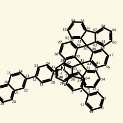 c1ccc(-c2ccc(N(c3ccc(-c4ccc5ccccc5c4)cc3)c3cccc4c3C3(c5ccccc5-c5ccccc53)c3ccccc3C43c4ccccc4-c4ccccc43)cc2)cc1